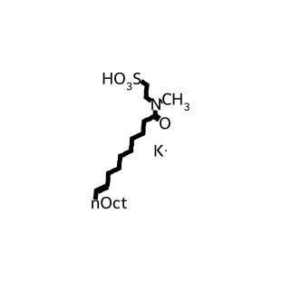 CCCCCCCCC=CCCCCCCCC(=O)N(C)CCS(=O)(=O)O.[K]